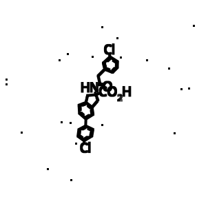 O=C(Cc1cccc(Cl)c1)NC1(C(=O)O)Cc2ccc(-c3ccc(Cl)cc3)cc2C1